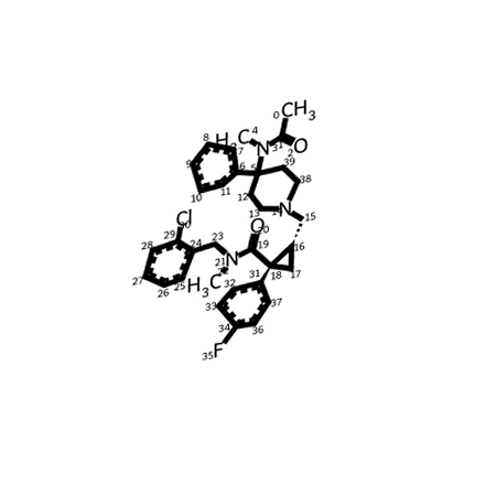 CC(=O)N(C)C1(c2ccccc2)CCN(C[C@@H]2C[C@@]2(C(=O)N(C)Cc2ccccc2Cl)c2ccc(F)cc2)CC1